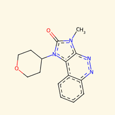 Cn1c(=O)n(C2CCOCC2)c2c3ccccc3nnc21